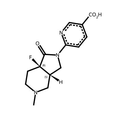 CN1CC[C@]2(F)C(=O)N(c3ccc(C(=O)O)cn3)C[C@@H]2C1